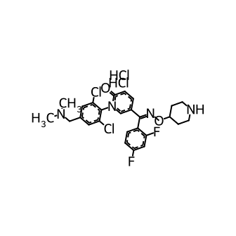 CN(C)Cc1cc(Cl)c(-n2cc(C(=NOC3CCNCC3)c3ccc(F)cc3F)ccc2=O)c(Cl)c1.Cl.Cl